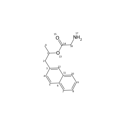 CC(Cc1ccc2ccccc2c1)OC(=O)CN